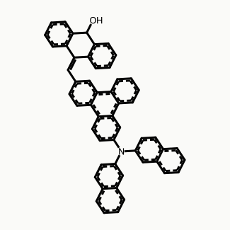 OC1c2ccccc2C(=Cc2ccc3c4ccc(N(c5ccc6ccccc6c5)c5ccc6ccccc6c5)cc4c4ccccc4c3c2)c2ccccc21